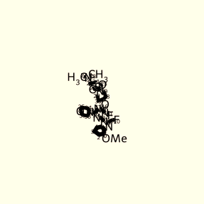 COc1cccc2c1nc(C(F)F)n2-c1nc(OC2CCN(S(=O)(=O)CCN(C)C)CC2)nc(N2CCOCC2)n1